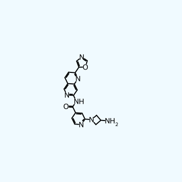 NC1CN(c2cc(C(=O)Nc3cc4nc(-c5cnco5)ccc4cn3)ccn2)C1